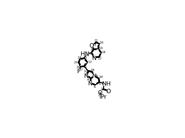 CC(C)OC(=O)Nc1cnc2nc(-c3cc(Nc4nccc5ccoc45)ccc3F)cn2c1